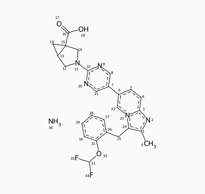 Cc1nc2ccc(-c3cnc(N4CC5CC5(C(=O)O)C4)nc3)cn2c1Cc1ccccc1OC(F)F.N